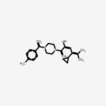 C=C(/C(=C\C(=C(C)C)C1CC1)CCC)N1CCN(C(=C)c2ccc(C)cc2)CC1